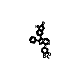 CN1CCN(c2nccn3c(-c4ccc5c(c4)CC(=O)N5)c(-c4ccccc4)nc23)CC1=O